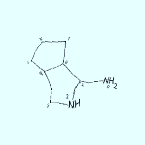 N[C]1NCC2CCCC12